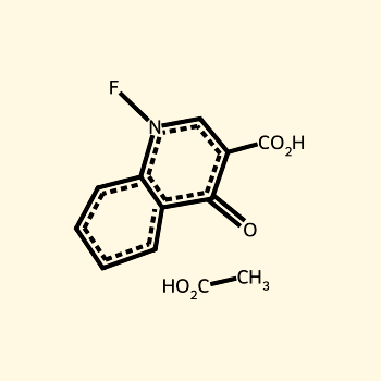 CC(=O)O.O=C(O)c1cn(F)c2ccccc2c1=O